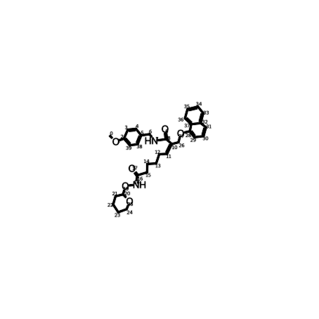 COc1ccc(CNC(=O)C(=CCCCCC(=O)NOC2CCCCO2)COc2cccc3ccccc23)cc1